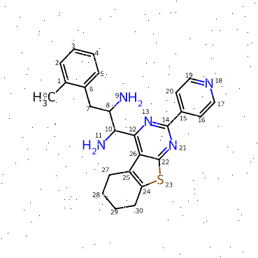 Cc1ccccc1CC(N)C(N)c1nc(-c2ccncc2)nc2sc3c(c12)CCCC3